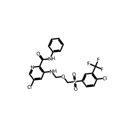 O=C(Nc1ccccc1)c1ncc(Cl)cc1NCOCS(=O)(=O)c1ccc(Cl)c(C(F)(F)F)c1